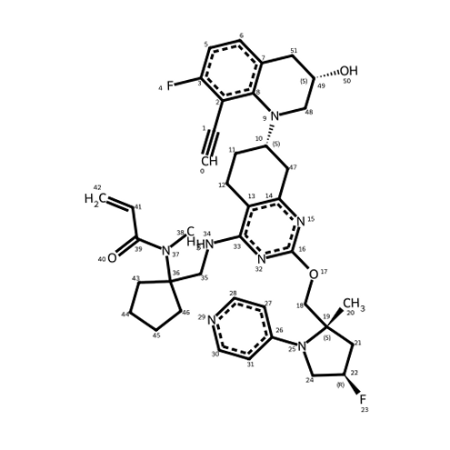 C#Cc1c(F)ccc2c1N([C@H]1CCc3c(nc(OC[C@]4(C)C[C@@H](F)CN4c4ccncc4)nc3NCC3(N(C)C(=O)C=C)CCCC3)C1)C[C@@H](O)C2